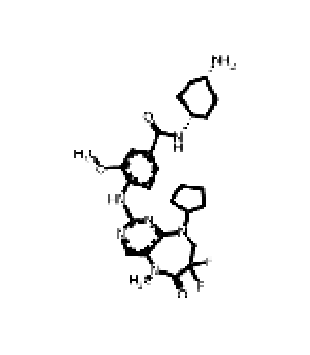 COc1cc(C(=O)N[C@H]2CC[C@@H](N)CC2)ccc1Nc1ncc2c(n1)N(C1CCCC1)CC(F)(F)C(=O)N2C